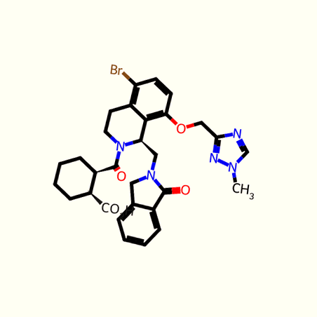 Cn1cnc(COc2ccc(Br)c3c2[C@@H](CN2Cc4ccccc4C2=O)N(C(=O)[C@@H]2CCCC[C@@H]2C(=O)O)CC3)n1